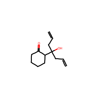 C=CCC(O)(CC=C)C1CCCCC1=O